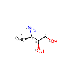 N[C@H](C=O)[C@H](O)CO